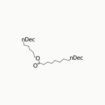 CCCCCCCCCCCCCCCCCC(=O)OCCCCCCCCCCCCCCC